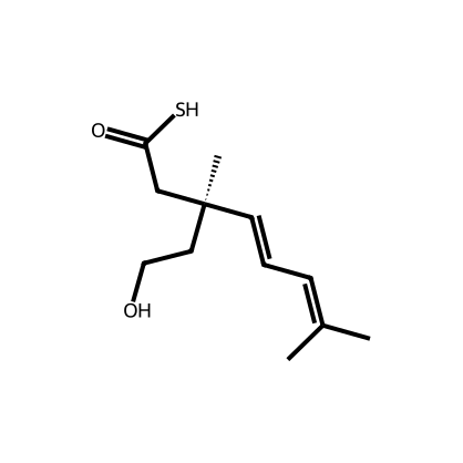 CC(C)=C/C=C/[C@@](C)(CCO)CC(=O)S